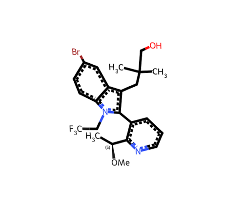 CO[C@@H](C)c1ncccc1-c1c(CC(C)(C)CO)c2cc(Br)ccc2n1CC(F)(F)F